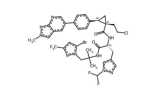 Cn1cc2cc(-c3ccc([C@H]4C[C@]4(CCCl)C(=O)N[C@H](Cc4cnn(C(F)F)c4)C(=O)NC(C)(C)Cn4nc(C(F)(F)F)cc4Br)cc3)cnc2n1